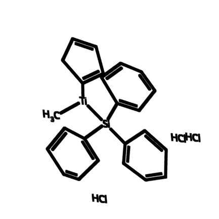 Cl.Cl.Cl.[CH3][Ti]([C]1=CC=CC1)[Si](c1ccccc1)(c1ccccc1)c1ccccc1